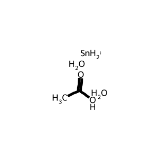 CC(=O)O.O.O.[SnH2]